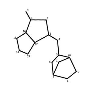 CC1CC(CC2CC3CCC2C3)C2CCCC12